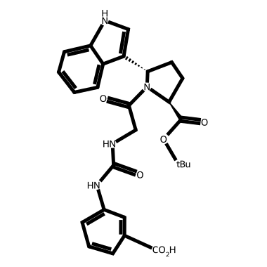 CC(C)(C)OC(=O)[C@@H]1CC[C@@H](c2c[nH]c3ccccc23)N1C(=O)CNC(=O)Nc1cccc(C(=O)O)c1